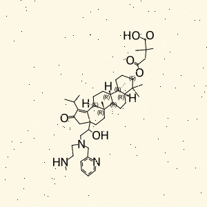 CNCCN(Cc1ccccn1)CC(O)C12CC[C@]3(C)[C@H](CC[C@@H]4[C@@]5(C)CC[C@H](OC(=O)CC(C)(C)C(=O)O)C(C)(C)[C@@H]5CC[C@]43C)C1=C(C(C)C)C(=O)C2